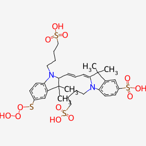 CC1(C)C(=CC=CC2N(CCCCS(=O)(=O)O)c3ccc(SOOO)cc3C2(C)C)N(CCCCS(=O)(=O)O)c2ccc(S(=O)(=O)O)cc21